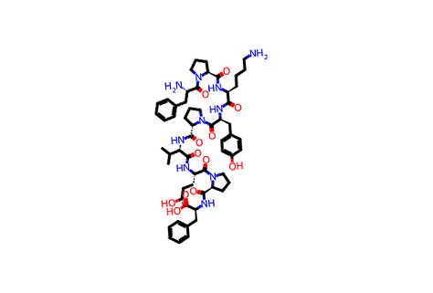 CC(C)[C@H](NC(=O)[C@@H]1CCCN1C(=O)[C@H](Cc1ccc(O)cc1)NC(=O)[C@H](CCCCN)NC(=O)[C@@H]1CCCN1C(=O)[C@@H](N)Cc1ccccc1)C(=O)N[C@@H](CCC(=O)O)C(=O)N1CCC[C@H]1C(=O)N[C@@H](Cc1ccccc1)C(=O)O